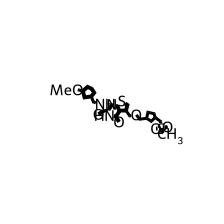 COc1cccc(CNC(=O)c2nc3scc(COCC4CCC(CS(C)(=O)=O)C4)c3c(=O)[nH]2)c1